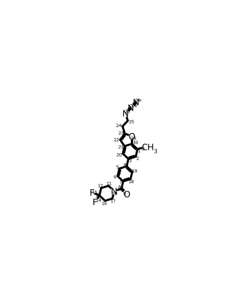 Cc1cc(-c2ccc(C(=O)N3CCC(F)(F)CC3)cc2)cc2cc(CCN=[N+]=[N-])oc12